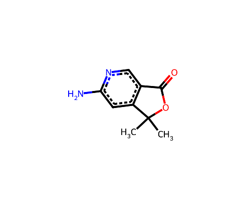 CC1(C)OC(=O)c2cnc(N)cc21